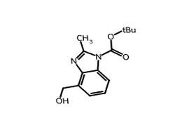 Cc1nc2c(CO)cccc2n1C(=O)OC(C)(C)C